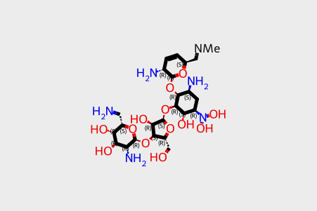 CNC[C@@H]1C=C[C@@H](N)[C@@H](O[C@H]2[C@H](O[C@@H]3O[C@H](CO)[C@@H](O[C@H]4O[C@@H](CN)[C@@H](O)[C@H](O)[C@H]4N)[C@H]3O)[C@@H](O)[C@H](N(O)O)C[C@@H]2N)O1